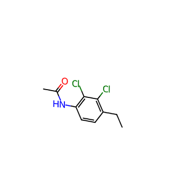 CCc1ccc(NC(C)=O)c(Cl)c1Cl